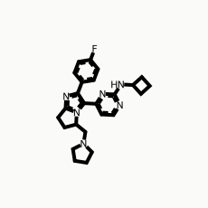 Fc1ccc(-c2nc3n(c2-c2ccnc(NC4CCC4)n2)C(CN2CCCC2)CC3)cc1